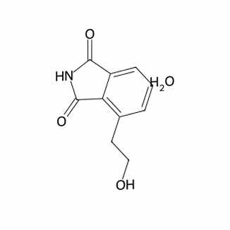 O.O=C1NC(=O)c2c(CCO)cccc21